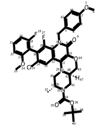 COc1ccc(Cn2c(=O)c3c(c4cc(Cl)c(-c5c(F)cccc5OC)c(F)c42)N2C[C@@H](C)N(C(=O)OC(C)(C)C)C[C@@H]2CO3)cc1